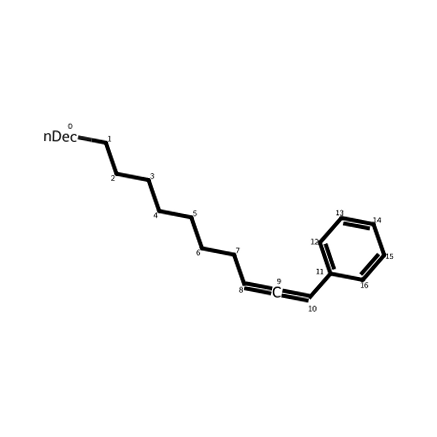 CCCCCCCCCCCCCCCCCC=C=Cc1ccccc1